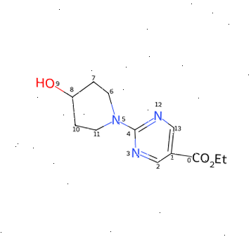 CCOC(=O)c1cnc(N2CCC(O)CC2)nc1